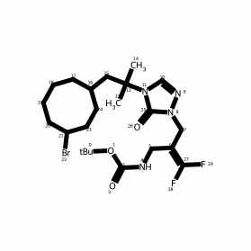 CC(C)(C)OC(=O)NCC(Cn1ncn(C(C)(C)CC2CCCCC(Br)CC2)c1=O)=C(F)F